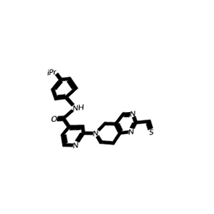 CC(C)c1ccc(NC(=O)c2ccnc(N3CCc4nc(C=S)ncc4C3)c2)cc1